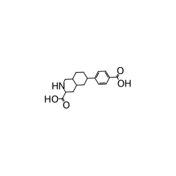 O=C(O)c1ccc(C2CCC3CNC(C(=O)O)CC3C2)cc1